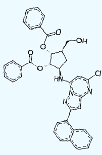 O=C(O[C@@H]1[C@@H](CO)C[C@@H](Nc2cc(Cl)nc3cc(-c4cccc5ccccc45)nn23)[C@@H]1OC(=O)c1ccccc1)c1ccccc1